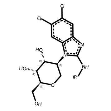 CC(C)Nc1nc2cc(Cl)c(Cl)cc2n1[C@H]1CO[C@@H](CO)[C@H](O)[C@@H]1O